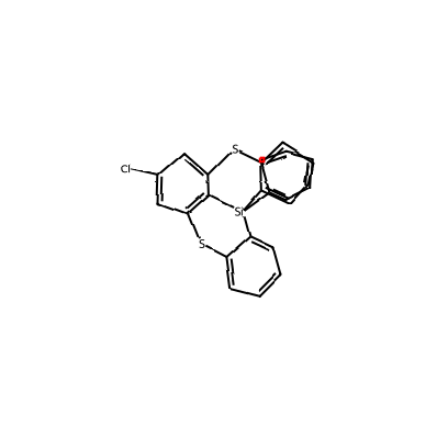 Clc1cc2c3c(c1)Sc1ccccc1[Si]3(c1ccccc1)c1ccccc1S2